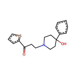 O=C(CCN1CCC(O)(c2ccccc2)CC1)c1cccs1